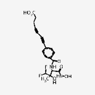 C[C@@](O)(C(F)F)[C@H](NC(=O)c1ccc(C#CC#CCCC(=O)O)cc1)C(=O)NO